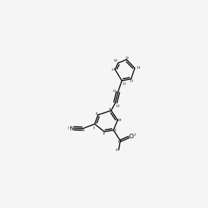 CC(=O)c1cc(C#N)cc(C#Cc2ccccc2)c1